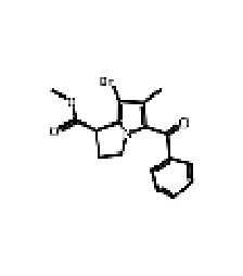 COC(=O)C1CCn2c(C(=O)c3ccccc3)c(C)c(Br)c21